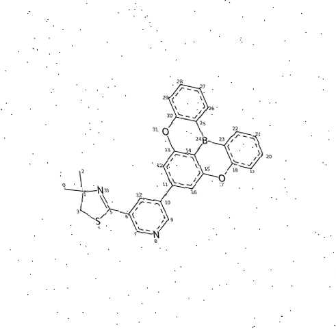 CC1(C)CSC(c2cncc(-c3cc4c5c(c3)Oc3ccccc3B5c3ccccc3O4)c2)=N1